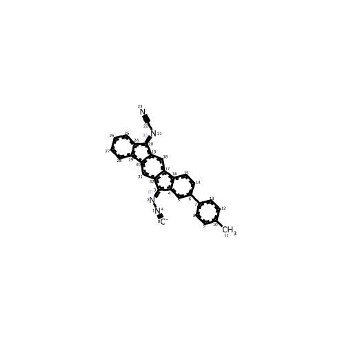 [C-]#[N+]/N=c1\c2cc(-c3ccc(C)cc3)ccc2c2cc3/c(=N/C#N)c4ccccc4c3cc12